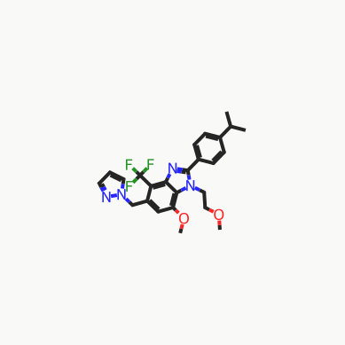 COCCn1c(-c2ccc(C(C)C)cc2)nc2c(C(F)(F)F)c(Cn3cccn3)cc(OC)c21